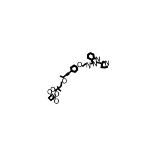 CC(C#Cc1ccc(OCCN(C)c2nc(-c3cccnc3)nc3ccccc23)cc1)OCCC(C)(C)C(=O)ON1C(=O)CCC1=O